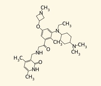 CCN(c1cc(OC2CN(C)C2)cc(C(=O)CNCc2c(C)cc(C)[nH]c2=O)c1C)C1CCC(N(C)C)CC1